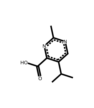 Cc1ncc(C(C)C)c(C(=O)O)n1